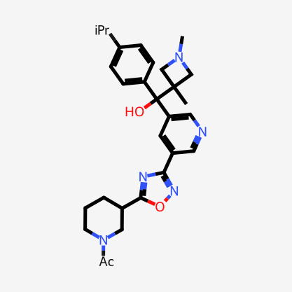 CC(=O)N1CCCC(c2nc(-c3cncc(C(O)(c4ccc(C(C)C)cc4)C4(C)CN(C)C4)c3)no2)C1